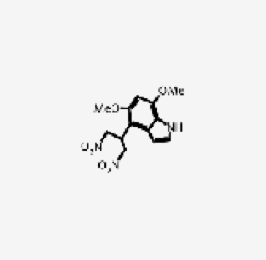 COc1cc(OC)c2[nH]ccc2c1C(C[N+](=O)[O-])C[N+](=O)[O-]